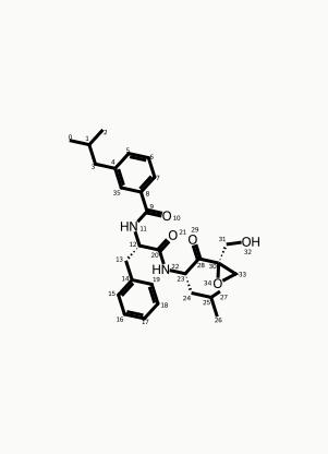 CC(C)Cc1cccc(C(=O)N[C@@H](Cc2ccccc2)C(=O)N[C@@H](CC(C)C)C(=O)[C@@]2(CO)CO2)c1